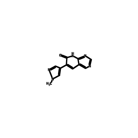 Cn1cc(-c2cc3cncnc3[nH]c2=O)cn1